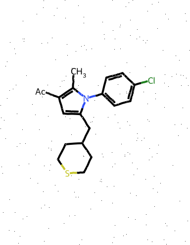 CC(=O)c1cc(CC2CCSCC2)n(-c2ccc(Cl)cc2)c1C